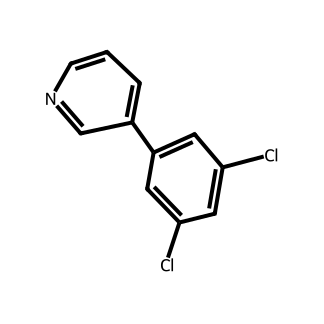 Clc1cc(Cl)cc(-c2cccnc2)c1